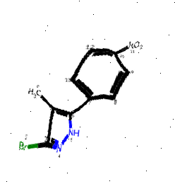 Cc1c(Br)n[nH]c1-c1ccc([N+](=O)[O-])cc1